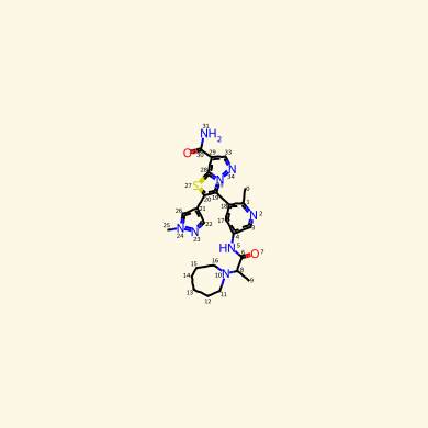 Cc1ncc(NC(=O)C(C)N2CCCCCC2)cc1-c1c(-c2cnn(C)c2)sc2c(C(N)=O)cnn12